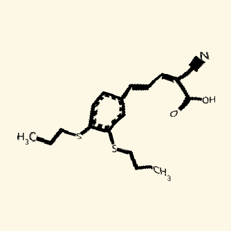 CCCSc1ccc(C=CC=C(C#N)C(=O)O)cc1SCCC